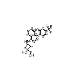 OCC1(O)CC(Nc2nnc(-c3ccc(C(F)(F)F)cc3O)c3ccncc23)C1